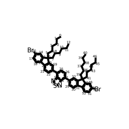 CCCCCCC1(CCCCCC)c2cc(Br)ccc2-c2ccc(-c3ccc(-c4ccc5c(c4)C(CCCCCC)(CCCCCC)c4cc(Br)ccc4-5)c4nsnc34)cc21